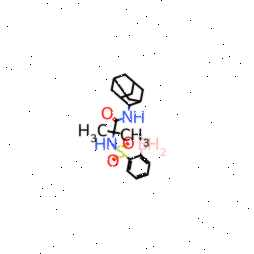 Bc1ccccc1S(=O)(=O)NC(C)(C)C(=O)NC1C2CC3CC(C2)CC1C3